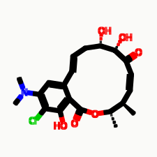 C[C@@H]1/C=C\C(=O)[C@@H](O)[C@@H](O)C/C=C/c2cc(N(C)C)c(Cl)c(O)c2C(=O)O[C@H]1C